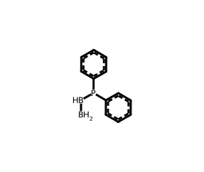 BBP(c1ccccc1)c1ccccc1